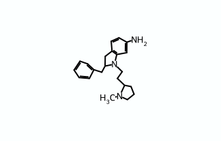 CN1CCCC1CCN1c2cc(N)ccc2CC1Cc1ccccc1